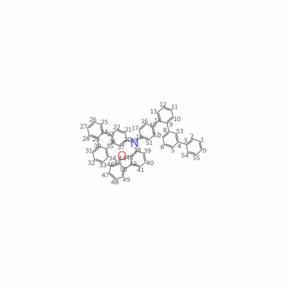 c1ccc(-c2cccc(-c3ccccc3-c3ccc(N(c4ccc(-c5ccccc5-c5ccccc5)cc4)c4cccc5c4oc4ccccc45)cc3)c2)cc1